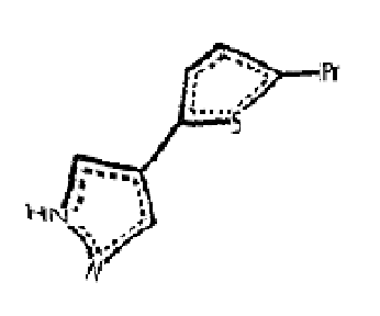 CC(C)c1ccc(-c2cn[nH]c2)s1